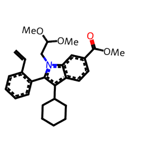 C=Cc1ccccc1-c1c(C2CCCCC2)c2ccc(C(=O)OC)cc2n1CC(OC)OC